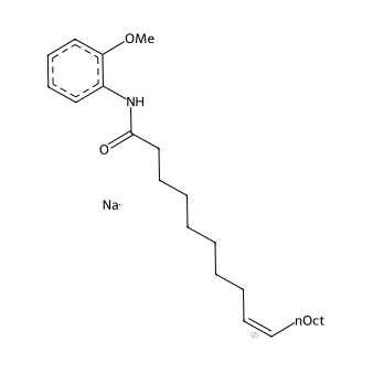 CCCCCCCC/C=C\CCCCCCCC(=O)Nc1ccccc1OC.[Na]